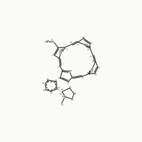 CCCCCC1=CC2=CC3=NC(=CC4=NC(=CC5=NC(=CC1=N2)C=C5)C=C4)C=C3.CN1CCC[C@H]1c1cccnc1